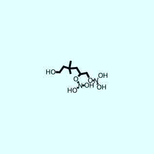 CC(C)(CCO)CC(CON(O)O)ON(O)O